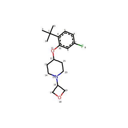 CC(C)(C)c1ccc(F)cc1OC1CCN(C2COC2)CC1